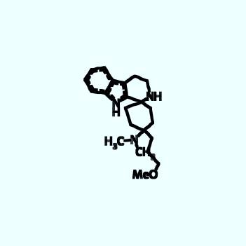 COCCCC1(N(C)C)CCC2(CC1)NCCc1c2[nH]c2ccccc12